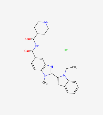 CCn1c(-c2nc3cc(C(=O)NC(=O)C4CCNCC4)ccc3n2C)cc2ccccc21.Cl